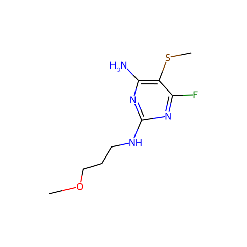 COCCCNc1nc(N)c(SC)c(F)n1